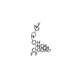 CC(=O)OC(C)(C)C(=O)NC(c1ccc(CN2CCC(c3ccc(F)nc3)CC2)cc1)c1ccc(F)c(F)c1